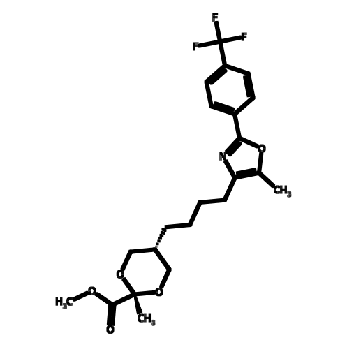 COC(=O)[C@]1(C)OC[C@H](CCCCc2nc(-c3ccc(C(F)(F)F)cc3)oc2C)CO1